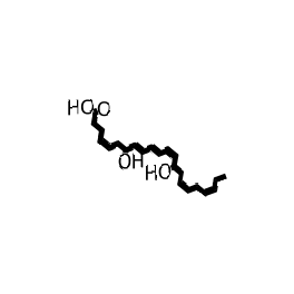 CC/C=C\C/C=C\CC(O)\C=C/C=C/C=C/C(O)C/C=C\CCC(=O)O